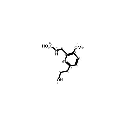 COc1ccc(CCO)nc1CNC(=O)O